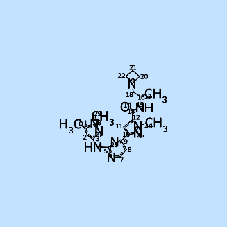 Cc1cc(Nc2nccc(-c3cc(C(=O)N[C@@H](C)CN4CCC4)n(C)n3)n2)nn1C